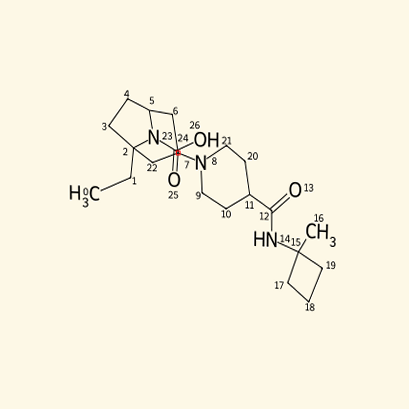 CCC12CCC(CC(N3CCC(C(=O)NC4(C)CCC4)CC3)C1)N2C(=O)O